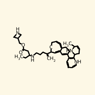 C=C(CCCNC(CC)CC(=O)OCC1CNC1)C1/C=C2/C=C(C3=C(C4CC=CC(C)N4)NC=CC=C3)CCC2=C=CCC1